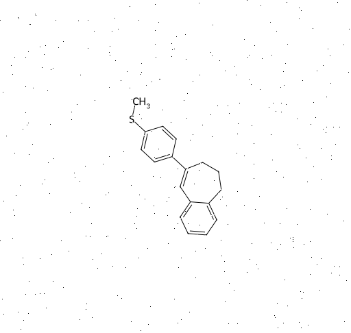 CSc1ccc(C2=Cc3ccccc3CCC2)cc1